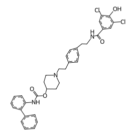 O=C(Nc1ccccc1-c1ccccc1)OC1CCN(CCc2ccc(CCNC(=O)c3cc(Cl)c(O)c(Cl)c3)cc2)CC1